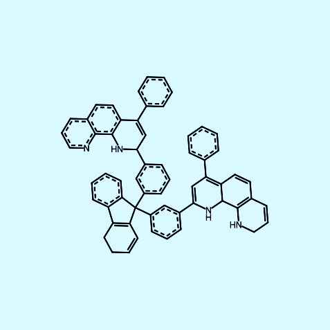 C1=CC2=C(CC1)c1ccccc1C2(c1cccc(C2=CC(c3ccccc3)=C3C=CC4=C(NCC=C4)C3N2)c1)c1cccc(C2C=C(c3ccccc3)c3ccc4cccnc4c3N2)c1